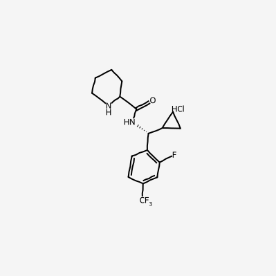 Cl.O=C(N[C@@H](c1ccc(C(F)(F)F)cc1F)C1CC1)C1CCCCN1